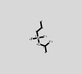 CCC[Si](F)(F)OC(C)F